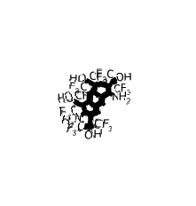 Nc1c(C(O)(C(F)(F)F)C(F)(F)F)cc2cc3c(N)c(C(O)(C(F)(F)F)C(F)(F)F)cc(C(O)(C(F)(F)F)C(F)(F)F)c3cc2c1C(O)(C(F)(F)F)C(F)(F)F